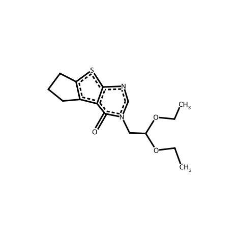 CCOC(Cn1cnc2sc3c(c2c1=O)CCC3)OCC